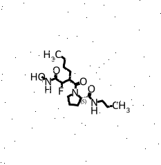 CCCCC(C(=O)N1CCC[C@H]1C(=O)NCCC)C(F)C(=O)NO